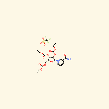 CCOC(=O)OC[C@H]1O[C@@H]([n+]2cccc(C(N)=O)c2)[C@H](OC(=O)OCC)[C@@H]1OC(=O)OCC.O=S(=O)([O-])C(F)(F)F